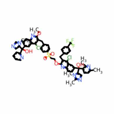 COc1nc2ccc(C(O)(c3ccccn3)c3cncn3C)cc2c(Cl)c1Cc1ccc(S(=O)(=O)CCOc2nc3ccc(C(O)(c4ccc(C)nc4C)c4cnc(C)n4C)cc3c(Cl)c2Cc2ccc(C(F)(F)F)cc2)cc1